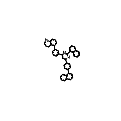 C1=Nc2cccc(-c3cccc(-c4cc(-c5ccc(-c6cccc7ccccc67)cc5)nc(-c5cccc6ccccc56)n4)c3)c2CC1